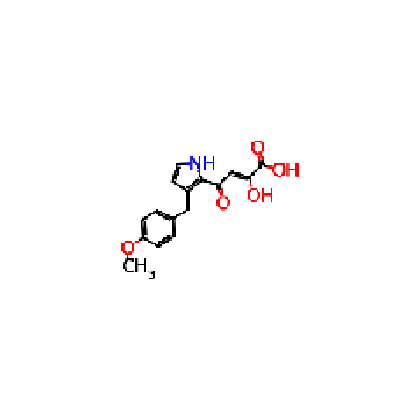 COc1ccc(Cc2cc[nH]c2C(=O)C=C(O)C(=O)O)cc1